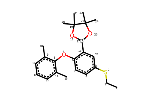 CCSc1ccc(Oc2c(C)cccc2C)c(B2OC(C)(C)C(C)(C)O2)c1